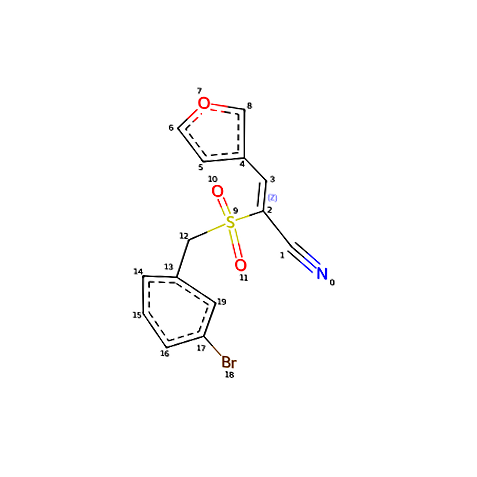 N#C/C(=C/c1ccoc1)S(=O)(=O)Cc1cccc(Br)c1